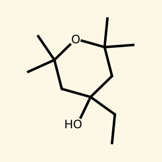 CCC1(O)CC(C)(C)OC(C)(C)C1